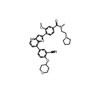 COc1cc(C(=O)N(C)CCN2CCCC2)ccc1-c1cc2nccc(-c3ccc(OC4CCOCC4)c(C#N)c3)c2o1